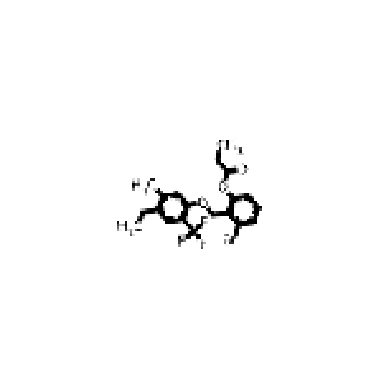 CCC(=O)Oc1cccc(Br)c1COc1cc(C)c(CC)cc1C(F)(F)F